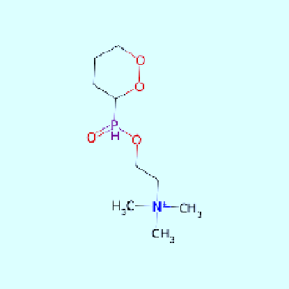 C[N+](C)(C)CCO[PH](=O)C1CCCOO1